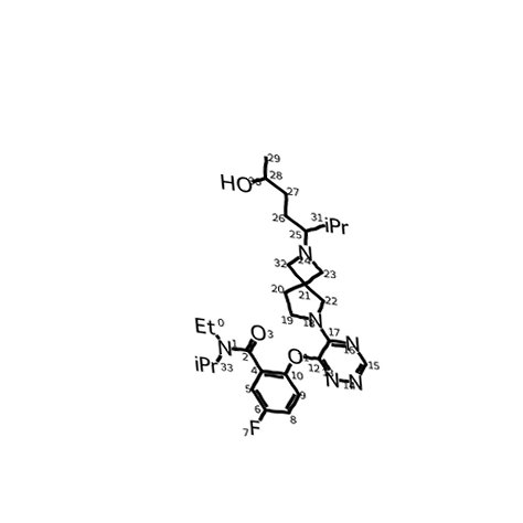 CCN(C(=O)c1cc(F)ccc1Oc1nncnc1N1CCC2(C1)CN(C(CCC(C)O)C(C)C)C2)C(C)C